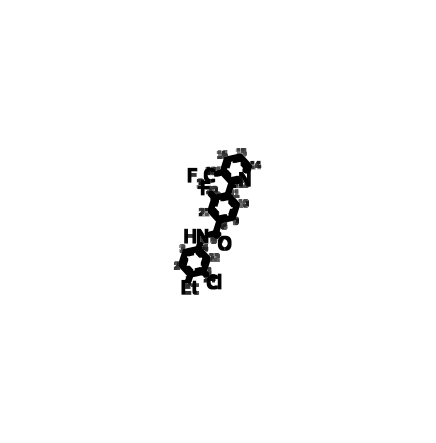 CCc1ccc(NC(=O)c2ccc(-c3ncccc3C(F)(F)F)c(F)c2)cc1Cl